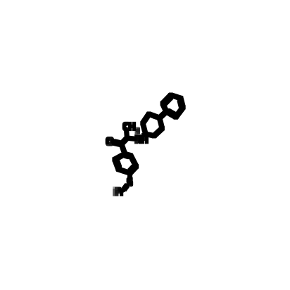 CC(C)Sc1ccc(C(=O)C(C)NC2CCC(c3ccccc3)CC2)cc1